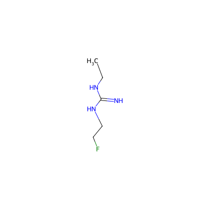 CCNC(=N)NCCF